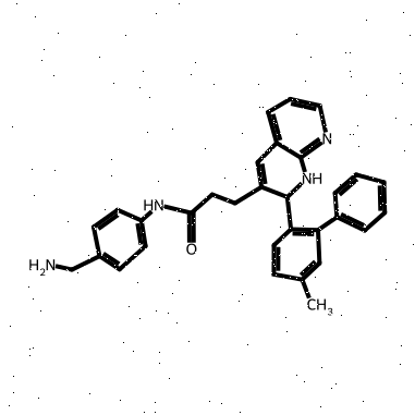 Cc1ccc(C2Nc3ncccc3C=C2CCC(=O)Nc2ccc(CN)cc2)c(-c2ccccc2)c1